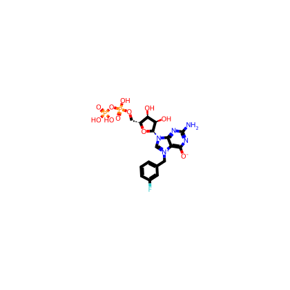 Nc1nc([O-])c2c(n1)n([C@@H]1O[C@H](COP(=O)(O)OP(=O)(O)O)[C@@H](O)[C@H]1O)c[n+]2Cc1cccc(F)c1